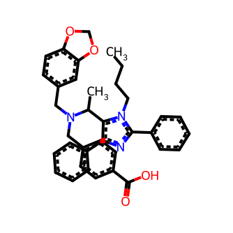 CCCCn1c(-c2ccccc2)nc(-c2ccccc2)c1C(C)N(Cc1ccc(C(=O)O)cc1)Cc1ccc2c(c1)OCO2